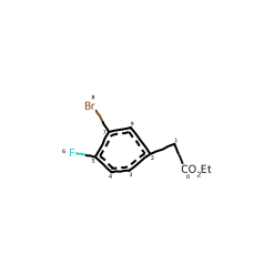 CCOC(=O)Cc1ccc(F)c(Br)c1